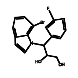 OCC(O)C(c1cccc(F)c1)n1ccc2cccc(Br)c21